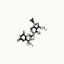 Cc1nn(C2CC2)c2cnn(CC(=O)NC(C)c3cc(F)cc(F)c3)c(=O)c12